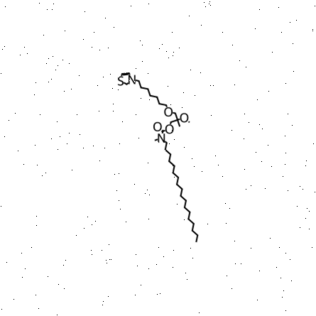 CCCCCCCCCCCCCCCCCCN(C)C(=O)OCC(C)(COCCCCCCCN1C=CSC1)OC